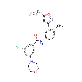 Cc1ccc(NC(=O)c2cc(F)cc(N3CCOCC3)c2)cc1-c1cc(C(=O)O)on1